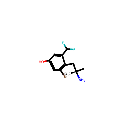 C[C@](N)(Cc1c(Br)cc(O)cc1C(F)F)C(=O)O